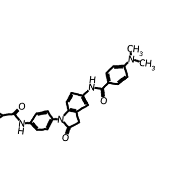 CN(C)c1ccc(C(=O)Nc2ccc3c(c2)CC(=O)N3c2ccc(NC(=O)C3CC3)cc2)cc1